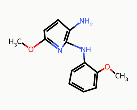 COc1ccc(N)c(Nc2ccccc2OC)n1